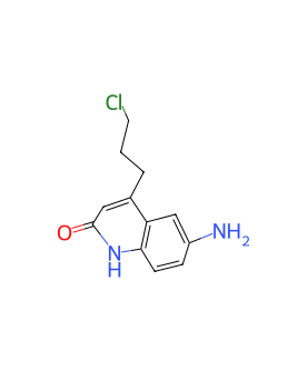 Nc1ccc2[nH]c(=O)cc(CCCCl)c2c1